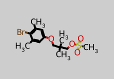 Cc1cc(OCC(C)(C)COS(C)(=O)=O)cc(C)c1Br